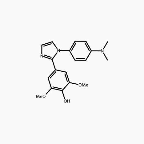 COc1cc(-c2nccn2-c2ccc(N(C)C)cc2)cc(OC)c1O